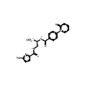 O=C(NC(CNC(=O)c1ccc(Cl)s1)C(=O)O)c1ccc(-n2ccccc2=O)cc1